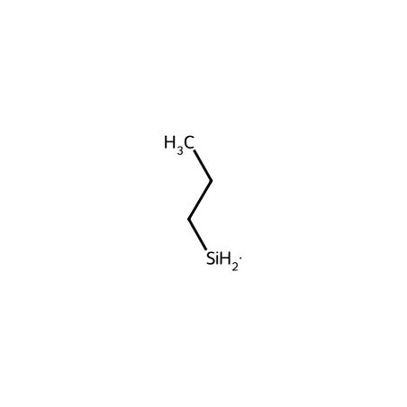 CCC[SiH2]